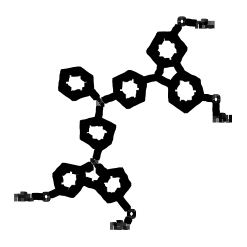 CCCCOc1ccc2c(c1)-c1cc(OCCCC)ccc1C2c1ccc(N(c2ccccc2)c2ccc(-n3c4ccc(OCCCC)cc4c4cc(OCCCC)ccc43)cc2)cc1